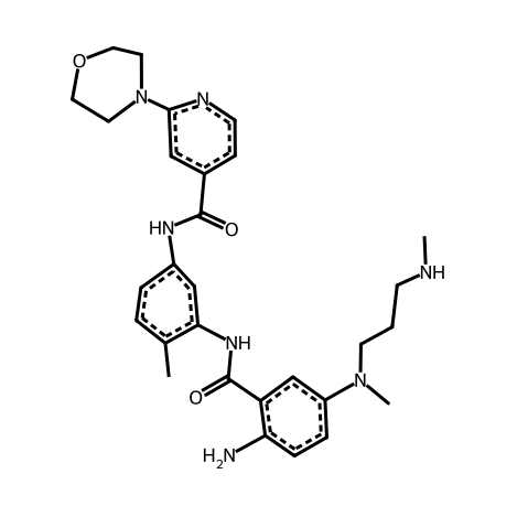 CNCCCN(C)c1ccc(N)c(C(=O)Nc2cc(NC(=O)c3ccnc(N4CCOCC4)c3)ccc2C)c1